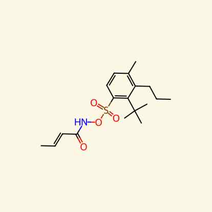 CC=CC(=O)NOS(=O)(=O)c1ccc(C)c(CCC)c1C(C)(C)C